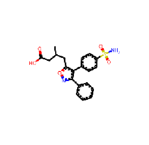 CC(CC(=O)O)Cc1onc(-c2ccccc2)c1-c1ccc(S(N)(=O)=O)cc1